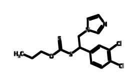 CCCOC(=S)SC(Cn1ccnc1)c1ccc(Cl)c(Cl)c1